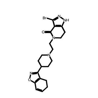 O=C1c2c(Br)n[nH]c2CCN1CCN1CCC(c2noc3c2CCC=C3)CC1